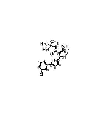 CC(C)(C)NC(=O)c1c(-c2ccc(-c3cccc(Cl)c3)o2)noc1N